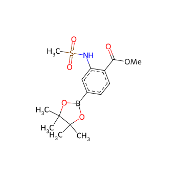 COC(=O)c1ccc(B2OC(C)(C)C(C)(C)O2)cc1NS(C)(=O)=O